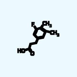 Cc1cc(CCC(=O)O)cc(F)c1C